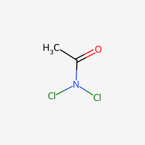 CC(=O)N(Cl)Cl